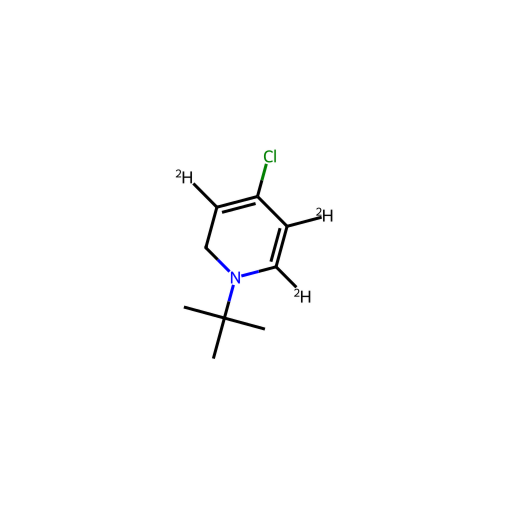 [2H]C1=C(Cl)C([2H])=C([2H])N(C(C)(C)C)C1